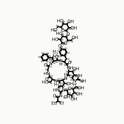 CCC(CC)C(=O)/N=C1\NCC(C(O)C2NC(=O)C(C(O)C3CNC(=N)N3)NC(=O)C(Cc3ccc(OC4OC(CO)C(OC5OC(CO)C(O)C(O)C5O)C(O)C4O)cc3)NC(=O)C(C(C)c3ccccc3)NC(=O)CNC(=O)C(CO)NC2=O)N1C1OC(CO)C(O)C(O)C1O